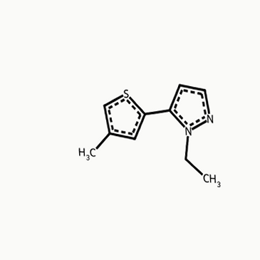 CCn1nccc1-c1cc(C)cs1